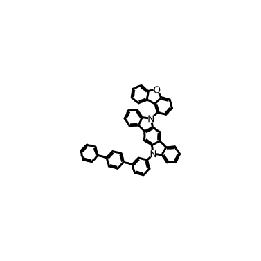 c1ccc(-c2ccc(-c3cccc(-n4c5ccccc5c5cc6c(cc54)c4ccccc4n6-c4cccc5oc6ccccc6c45)c3)cc2)cc1